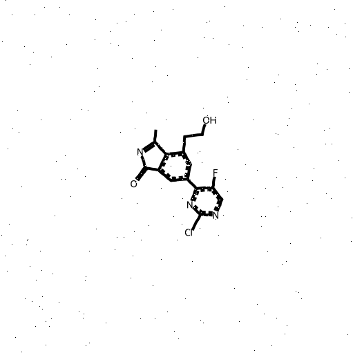 CC1=NC(=O)c2cc(-c3nc(Cl)ncc3F)cc(CCO)c21